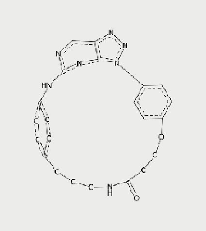 O=C1CCOc2ccc(cc2)-n2nnc3cnc(nc32)Nc2ccc(cc2)CCCN1